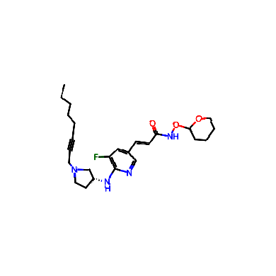 CCCCCC#CCN1CC[C@@H](Nc2ncc(/C=C/C(=O)NOC3CCCCO3)cc2F)C1